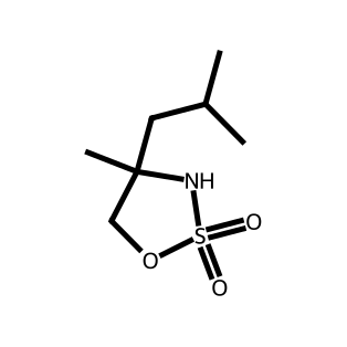 CC(C)CC1(C)COS(=O)(=O)N1